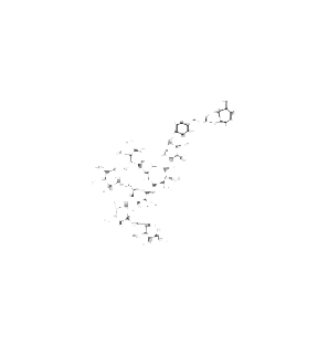 O=C(Nc1ccc(O)c(C(=O)O)c1)OCc1ccc(O[C@@H]2OC[C@@H](O[C@@H]3OCC(O[C@H]4OC[C@@H](O)C(O)C4O)C[C@@H](O[C@@H]4OC(CO[C@H]5OC[C@@H](O)C(O)C5O)[C@@H](O[C@@H]5OC(CO[C@H]6OC[C@@H](O)C(O)C6O)[C@@H](O)C(O)C5O)C(O)C4O)C(O)C3O)C(O)C2O)cc1